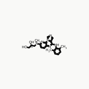 Cc1cccc(C)c1Nc1nc2ccc(N(C)C[C@H](O)CO)nc2n2cncc12